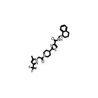 Cc1cc(C(F)(F)F)nn1CC(=O)N1CCC(c2nc(C(=O)NC[C@@H]3CCCc4ccccc43)cs2)CC1